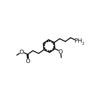 COC(=O)CCc1ccc(CCCP)c(OC)c1